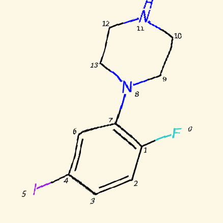 Fc1ccc(I)cc1N1CCNCC1